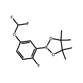 CC1(C)OB(c2cc(OC(F)F)ccc2F)OC1(C)C